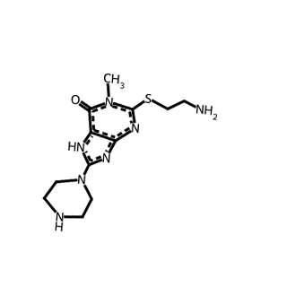 Cn1c(SCCN)nc2nc(N3CCNCC3)[nH]c2c1=O